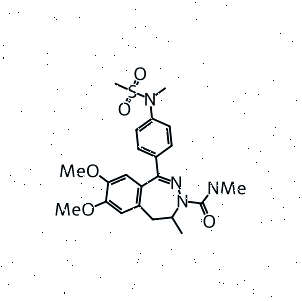 CNC(=O)N1N=C(c2ccc(N(C)S(C)(=O)=O)cc2)c2cc(OC)c(OC)cc2CC1C